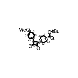 COc1ccc(C2C(=O)C(=O)C2N2CCN(C(=O)OC(C)(C)C)CC2)cc1